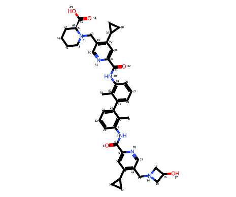 Cc1c(NC(=O)c2cc(C3CC3)c(CN3CC(O)C3)cn2)cccc1-c1cccc(NC(=O)c2cc(C3CC3)c(CN3CCCC[C@H]3C(=O)O)cn2)c1C